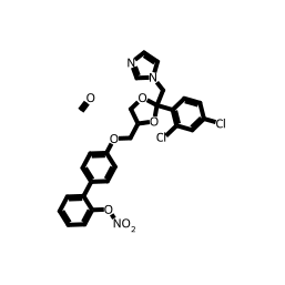 C=O.O=[N+]([O-])Oc1ccccc1-c1ccc(OCC2COC(Cn3ccnc3)(c3ccc(Cl)cc3Cl)O2)cc1